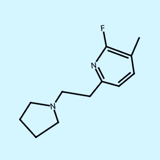 Cc1ccc(CCN2CCCC2)nc1F